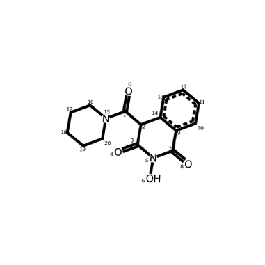 O=C(C1C(=O)N(O)C(=O)c2ccccc21)N1CCCCC1